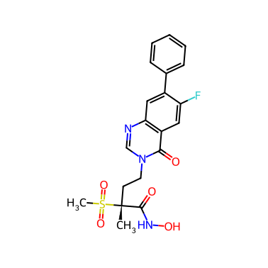 C[C@@](CCn1cnc2cc(-c3ccccc3)c(F)cc2c1=O)(C(=O)NO)S(C)(=O)=O